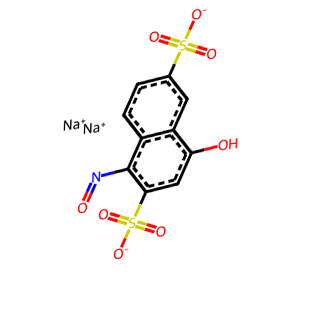 O=Nc1c(S(=O)(=O)[O-])cc(O)c2cc(S(=O)(=O)[O-])ccc12.[Na+].[Na+]